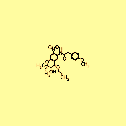 CCCO[C@H]1c2cc(NC(=O)Cc3ccc(OC)cc3)c([N+](=O)[O-])cc2OC(C)(C)C1O